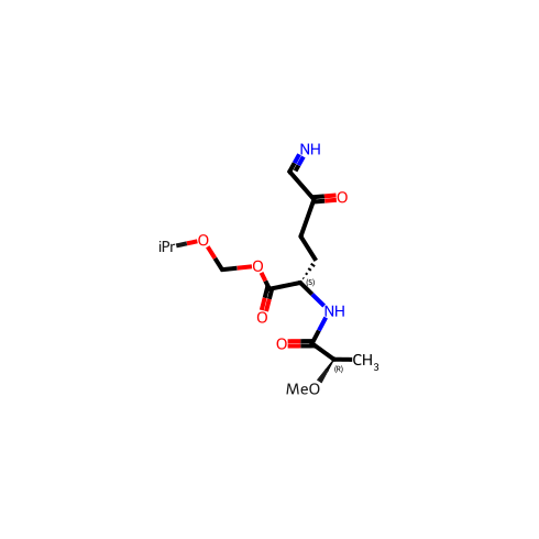 CO[C@H](C)C(=O)N[C@@H](CCC(=O)C=N)C(=O)OCOC(C)C